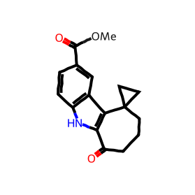 COC(=O)c1ccc2[nH]c3c(c2c1)C1(CCCC3=O)CC1